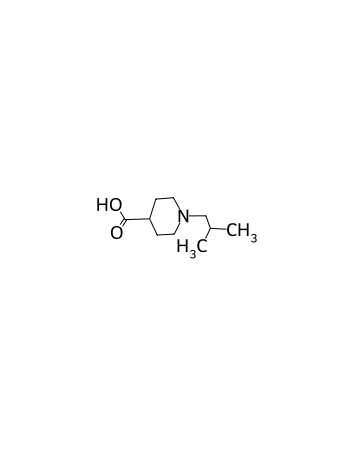 CC(C)CN1CCC(C(=O)O)CC1